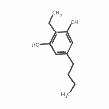 CCCCc1cc(O)c(CC)c(O)c1